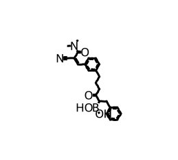 CN(C)C(=O)C(C#N)=Cc1cccc(CCCC(=O)C(Cc2ccccc2)B(O)O)c1